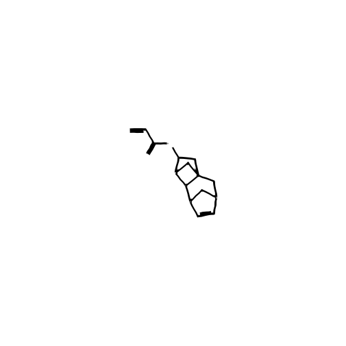 C=CC(=O)OC1CC23CC4C=CC(C4)C2C1C3